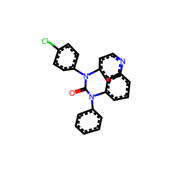 O=C(N(c1ccccc1)c1ccccc1)N(c1ccncc1)c1ccc(Cl)cc1